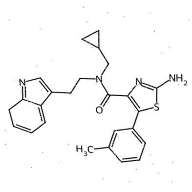 Cc1cccc(-c2sc(N)nc2C(=O)N(CCC2=CN=C3CC=CC=C23)CC2CC2)c1